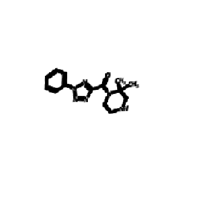 CC1(C)CNCCN1C(=O)c1nnn(-c2ccccc2)n1